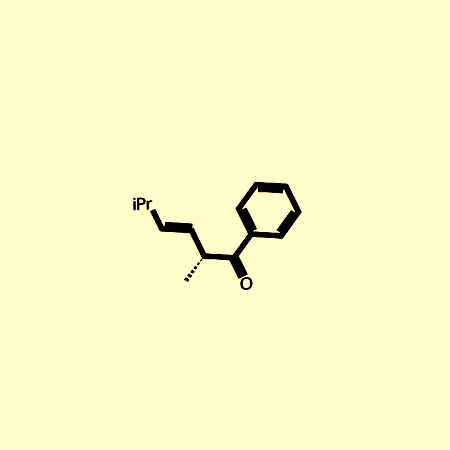 CC(C)/C=C/[C@@H](C)C(=O)c1ccccc1